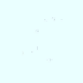 C=C1c2cc(-c3ccc(CN4CCN(C)C4)nc3)cc(N(CC)C3CCCCC3)c21